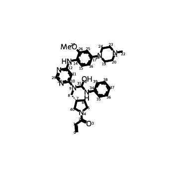 C=CC(=O)N1CC[C@@H](CN(c2cc(Nc3ccc(N4CCN(C)CC4)cc3OC)ncn2)C(O)Nc2ccccc2)C1